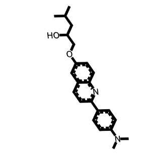 CC(C)CC(O)COc1ccc2nc(-c3ccc(N(C)C)cc3)ccc2c1